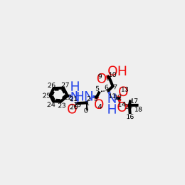 C[C@H](NC(=O)C[C@H](CC(=O)O)NC(=O)OC(C)(C)C)C(=O)Nc1ccccc1